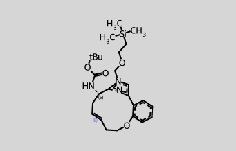 CC(C)(C)OC(=O)N[C@H]1C/C=C/CCOc2ccccc2-c2cn(COCC[Si](C)(C)C)c1n2